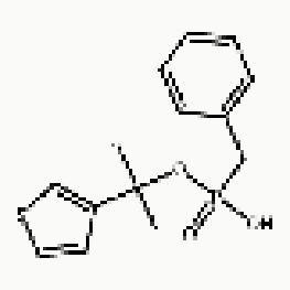 [CH2]C(C)(OP(=O)(O)Cc1ccccc1)c1ccsc1